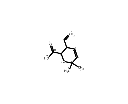 C=CC1C=CC(C)(C)OC1C(=O)O